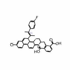 C/C(=C(/C)C1C=c2cc(Cl)ccc2=c2ccc3c(c21)CCC(Cc1c(C(=O)O)cccc1C(=O)O)C=3)c1ccc(F)cc1